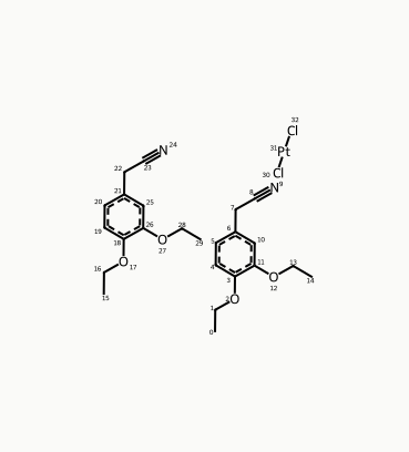 CCOc1ccc(CC#N)cc1OCC.CCOc1ccc(CC#N)cc1OCC.[Cl][Pt][Cl]